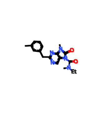 CCN(C)C(=O)n1c(=O)n(C)c2nc(Cc3cccc(C)c3)ncc21